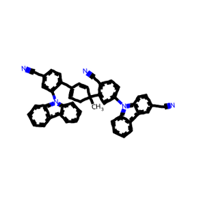 CC1(c2cc(-n3c4ccccc4c4cc(C#N)ccc43)ccc2C#N)C=CC(c2ccc(C#N)cc2-n2c3ccccc3c3ccccc32)=CC1